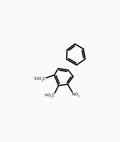 CCOC(=O)c1cccc([N+](=O)[O-])c1C(=O)O.c1ccccc1